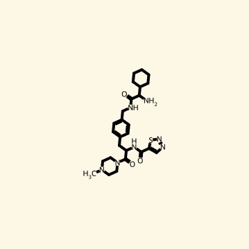 CN1CCN(C(=O)C(Cc2ccc(CNC(=O)C(N)C3CCCCC3)cc2)NC(=O)c2cnns2)CC1